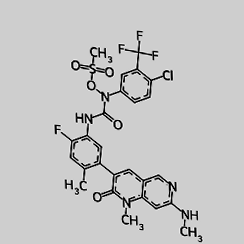 CNc1cc2c(cn1)cc(-c1cc(NC(=O)N(OS(C)(=O)=O)c3ccc(Cl)c(C(F)(F)F)c3)c(F)cc1C)c(=O)n2C